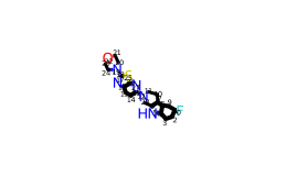 Fc1ccc2[nH]c3c(c2c1)CCN(c1ccc2nc(N4CCOCC4)sc2n1)C3